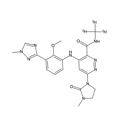 [2H]C([2H])([2H])NC(=O)c1nnc(N2CCN(C)C2=O)cc1Nc1cccc(-c2ncn(C)n2)c1OC